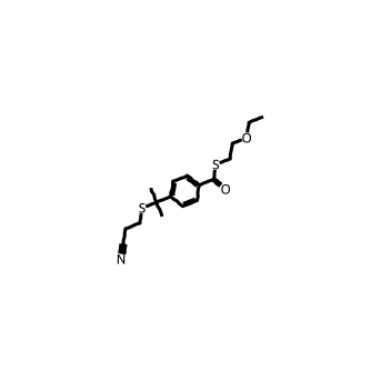 CCOCCSC(=O)c1ccc(C(C)(C)SCCC#N)cc1